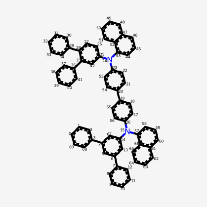 c1ccc(-c2cc(-c3ccccc3)cc(N(c3ccc(-c4ccc(N(c5ccc(-c6ccccc6)c(-c6ccccc6)c5)c5cccc6ccccc56)cc4)cc3)c3cccc4ccccc34)c2)cc1